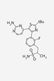 CC(Cc1cccc(-c2nc(C(C)(C)C)sc2-c2ccnc(N)n2)c1F)S(N)(=O)=O